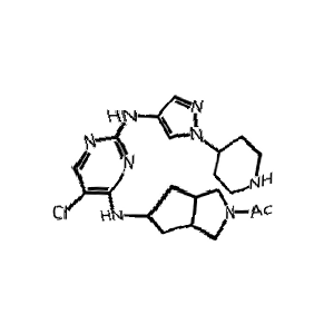 CC(=O)N1CC2CC(Nc3nc(Nc4cnn(C5CCNCC5)c4)ncc3Cl)CC2C1